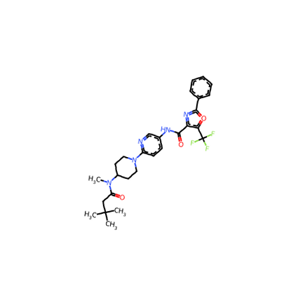 CN(C(=O)CC(C)(C)C)C1CCN(c2ccc(NC(=O)c3nc(-c4ccccc4)oc3C(F)(F)F)cn2)CC1